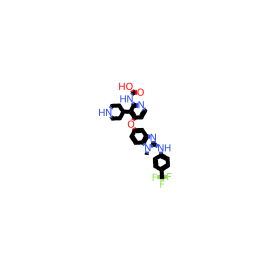 Cn1c(Nc2ccc(C(F)(F)F)cc2)nc2cc(Oc3ccnc(NC(=O)O)c3C3CCNCC3)ccc21